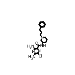 Nc1nc(N)c(C(=O)NC2CCCN(CCCc3ccccc3)C2)nc1Cl